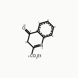 CCOC(=O)C1=Nc2ccccc2C(=O)C1